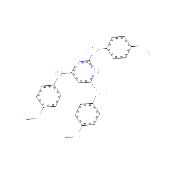 COc1ccc(Nc2cc(Nc3ccc(OC)cc3)nc(Nc3ccc(OC)cc3)n2)cc1